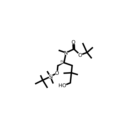 CN(C(=O)OC(C)(C)C)[C@H](CO[Si](C)(C)C(C)(C)C)CC(C)(C)CO